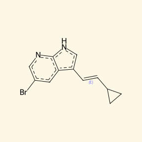 Brc1cnc2[nH]cc(/C=C/C3CC3)c2c1